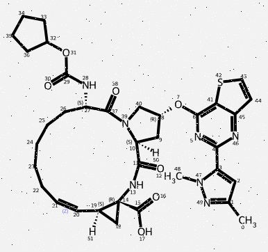 Cc1cc(-c2nc(O[C@@H]3C[C@H]4C(=O)N[C@]5(C(=O)O)C[C@H]5/C=C\CCCCC[C@H](NC(=O)OC5CCCC5)C(=O)N4C3)c3sccc3n2)n(C)n1